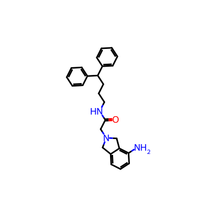 Nc1cccc2c1CN(CC(=O)NCCCC(c1ccccc1)c1ccccc1)C2